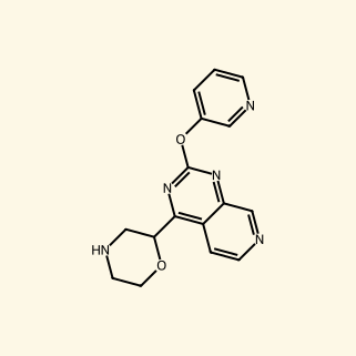 c1cncc(Oc2nc(C3CNCCO3)c3ccncc3n2)c1